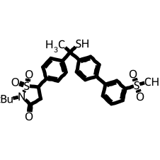 CC(S)(c1ccc(-c2cccc(S(C)(=O)=O)c2)cc1)c1ccc(C2CC(=O)N(C(C)(C)C)S2(=O)=O)cc1